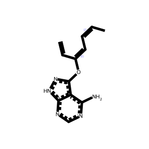 C=C/C(=C\C=C/C)Oc1n[nH]c2ncnc(N)c12